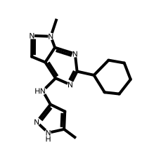 Cc1cc(Nc2nc(C3CCCCC3)nc3c2cnn3C)n[nH]1